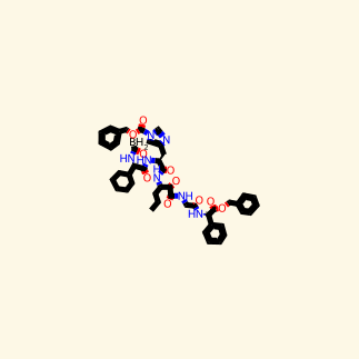 BC(=O)N[C@H](C(=O)N[C@@H](Cc1cn(C(=O)OCc2ccccc2)cn1)C(=O)NC(CCC)C(=O)C(=O)NCC(=O)N[C@H](C(=O)OCc1ccccc1)c1ccccc1)C1CCCCC1